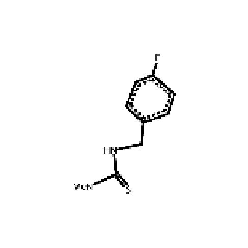 CNC(=S)NCc1ccc(F)cc1